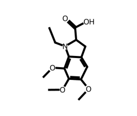 CCN1c2c(cc(OC)c(OC)c2OC)CC1C(=O)O